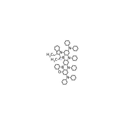 C=Cc1c2n(c3ccccc13)-c1cc(N(c3ccccc3)c3ccccc3)cc3c1B(/C2=C/C)c1cc2c(cc1N3c1ccccc1)N(c1ccccc1)c1cc(N(c3ccccc3)c3ccccc3)cc3c1B2c1ccccc1O3